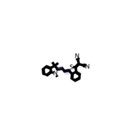 CN1/C(=C\C=c2/sc(=C(C#N)C#N)c3ccccc23)C(C)(C)c2ccccc21